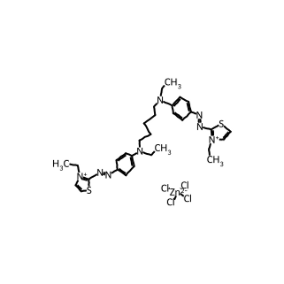 CCN(CCCCCN(CC)c1ccc(N=Nc2scc[n+]2CC)cc1)c1ccc(N=Nc2scc[n+]2CC)cc1.[Cl][Zn-2]([Cl])([Cl])[Cl]